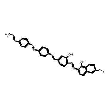 CN=Nc1ccc(N=Nc2ccc(N=Nc3ccc(N=Nc4ccc5cc(C)ccc5c4O)c(O)c3)cc2)cc1